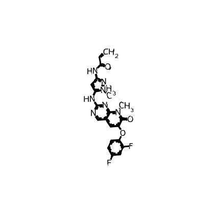 C=CC(=O)Nc1cc(Nc2ncc3cc(Oc4ccc(F)cc4F)c(=O)n(C)c3n2)n(C)n1